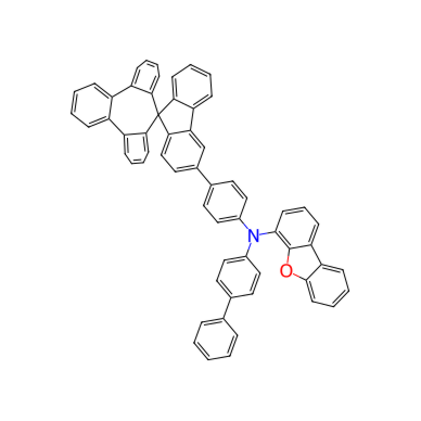 c1ccc(-c2ccc(N(c3ccc(-c4ccc5c(c4)-c4ccccc4C54c5ccccc5-c5ccccc5-c5ccccc54)cc3)c3cccc4c3oc3ccccc34)cc2)cc1